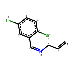 C=CC/N=C\c1cc(Cl)ccc1Br